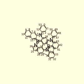 c1ccc(N2c3cc4ccccc4cc3B3c4c2cc2c5c4-c4c6c(ccn63)cc3c6cccc7c6n(c43)B5c3c-7cccc3N2c2ccccc2)cc1